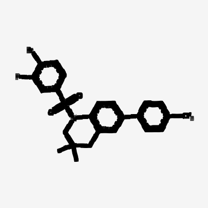 CC1(C)Cc2cc(-c3ccc(C(F)(F)F)cc3)ccc2N(S(=O)(=O)c2ccc(Br)c(F)c2)C1